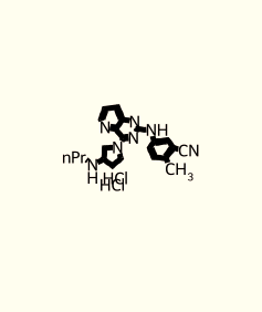 CCCNC1CCN(c2nc(Nc3ccc(C)c(C#N)c3)nc3cccnc23)C1.Cl.Cl